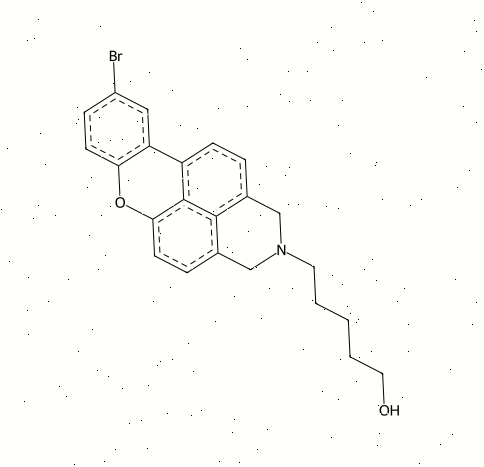 OCCCCCN1Cc2ccc3c4c(ccc(c24)C1)-c1cc(Br)ccc1O3